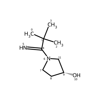 CC(C)(C)C(=N)N1CC[C@@H](O)C1